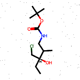 CC[C@](O)(CCl)C(C)CNC(=O)OC(C)(C)C